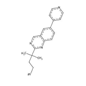 CC(C)CCC(C)(C)c1ncc2cc(-c3ccncc3)ccc2n1